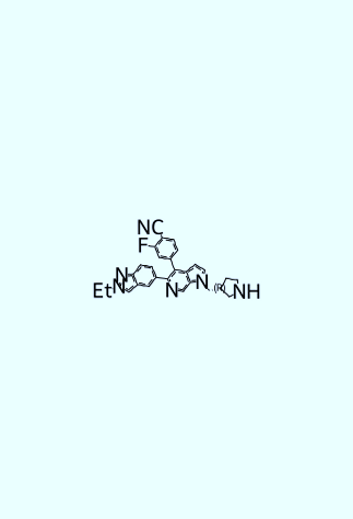 CCn1cc2cc(-c3ncc4c(ccn4C[C@@H]4CCNC4)c3-c3ccc(C#N)c(F)c3)ccc2n1